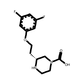 O=C(O)N1CCN[C@H](CCOc2cc(F)cc(F)c2)C1